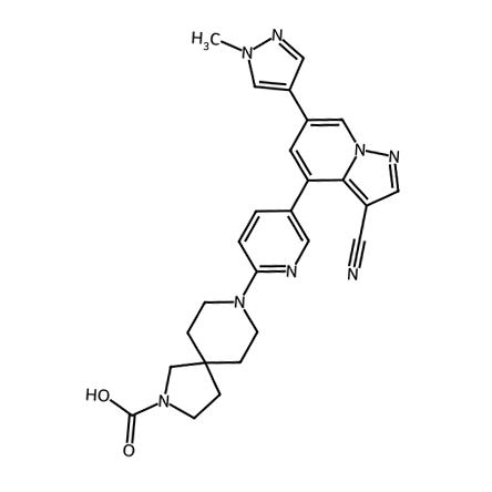 Cn1cc(-c2cc(-c3ccc(N4CCC5(CCN(C(=O)O)C5)CC4)nc3)c3c(C#N)cnn3c2)cn1